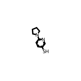 Sc1ccc(N2CCCC2)nc1